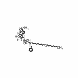 CCCCCCCCOCCCCCCCCC[C@H](COP(=O)(O)OC[C@H]1O[C@@](C#N)(c2ccc3c(N)ncnn23)C(O)[C@H]1O)OCc1ccccc1